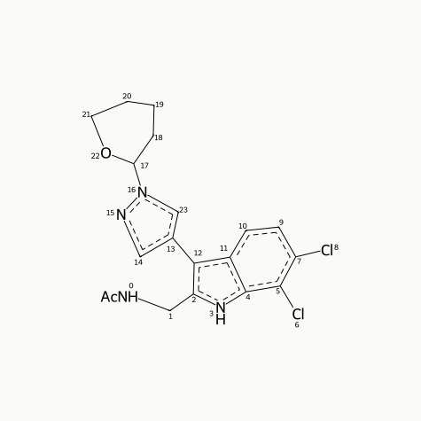 CC(=O)NCc1[nH]c2c(Cl)c(Cl)ccc2c1-c1cnn(C2CCCCO2)c1